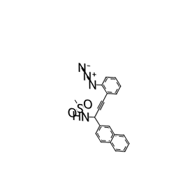 CS(=O)(=O)NC(C#Cc1ccccc1N=[N+]=[N-])c1ccc2ccccc2c1